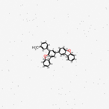 Cc1cccc(-c2cc(-c3ccc4oc5ccccc5c4c3)cc3c2oc2ccccc23)c1